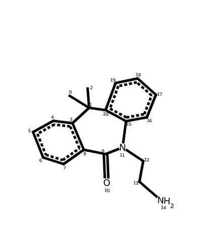 CC1(C)c2ccccc2C(=O)N(CCN)c2ccccc21